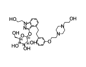 OCCN1CCN(CCOc2cccc(CCc3cccc4c3c(O[C@@H]3O[C@H](CO)[C@@H](O)[C@H](O)[C@H]3O)nn4CCO)c2)CC1